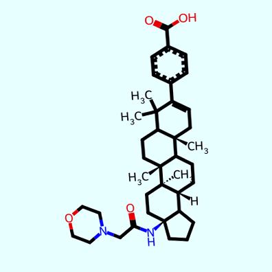 CC1(C)C(c2ccc(C(=O)O)cc2)=CC[C@@]2(C)C1CC[C@]1(C)C2CC[C@@H]2C3CCC[C@]3(NC(=O)CN3CCOCC3)CC[C@]21C